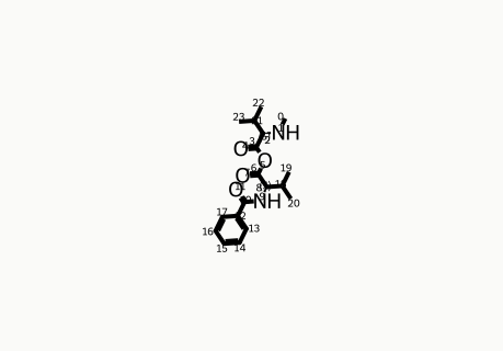 CN[C@H](C(=O)OC(=O)[C@@H](NC(=O)c1ccccc1)C(C)C)C(C)C